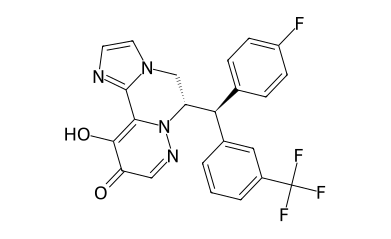 O=c1cnn2c(c1O)-c1nccn1C[C@@H]2[C@@H](c1ccc(F)cc1)c1cccc(C(F)(F)F)c1